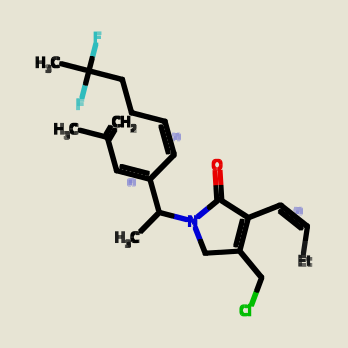 C=C(C)/C=C(\C=C/CCC(C)(F)F)C(C)N1CC(CCl)=C(/C=C\CC)C1=O